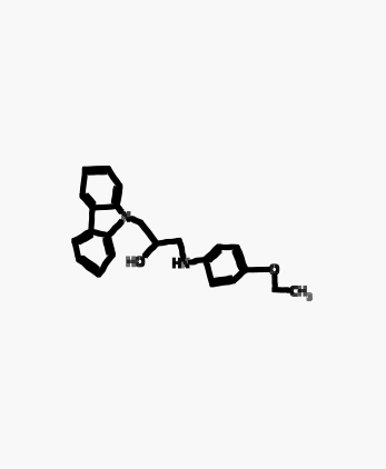 CCOc1ccc(NCC(O)Cn2c3ccccc3c3ccccc32)cc1